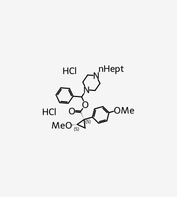 CCCCCCCN1CCN(C(OC(=O)[C@]2(c3ccc(OC)cc3)C[C@@H]2OC)c2ccccc2)CC1.Cl.Cl